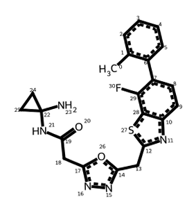 Cc1ccccc1-c1ccc2nc(Cc3nnc(CC(=O)NC4(N)CC4)o3)sc2c1F